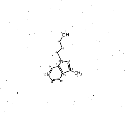 Cc1cn(CCCO)c2cnccc12